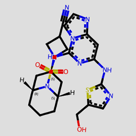 N#CC1CN(S(=O)(=O)N2[C@@H]3CCC[C@H]2C[C@H](Nc2nc(Nc4ncc(CO)s4)cc4nccn24)C3)C1